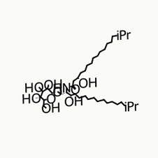 CC(C)CCCCCCCCCCC[C@@H](O)CC(=O)N[C@@H](CO[C@H]1OC(CO)[C@H](O)C(O)C1O)[C@H](O)CCCCCCCCCCCC(C)C